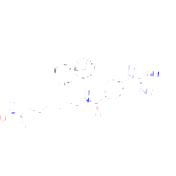 C1=CC2=CC(=C1)C2c1ccccc1.N=C(N)Nc1ccc(C(=O)NCCCCCCC(=O)NO)cc1